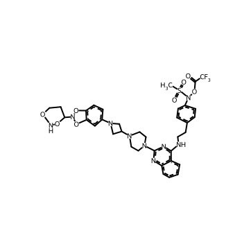 CS(=O)(=O)N(OC(=O)C(F)(F)F)c1ccc(CCNc2nc(N3CCN(C4CN(c5ccc6c(c5)ON(C5CCONO5)O6)C4)CC3)nc3ccccc23)cc1